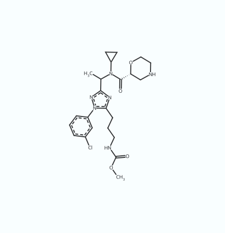 COC(=O)NCCCc1nc(C(C)N(C(=O)[C@H]2CNCCO2)C2CC2)nn1-c1cccc(Cl)c1